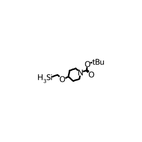 CC(C)(C)OC(=O)N1CCC(OC[SiH3])CC1